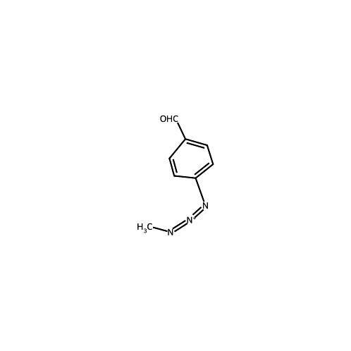 CN=[N+]=Nc1ccc(C=O)cc1